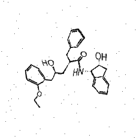 CCOc1ccccc1C[C@@H](O)C[C@@H](Cc1ccccc1)C(=O)N[C@H]1c2ccccc2C[C@H]1O